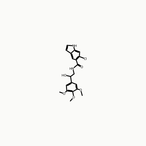 COc1cc(C(O)CNC(=O)c2cc3cc[nH]c3cc2Cl)cc(OC)c1OC